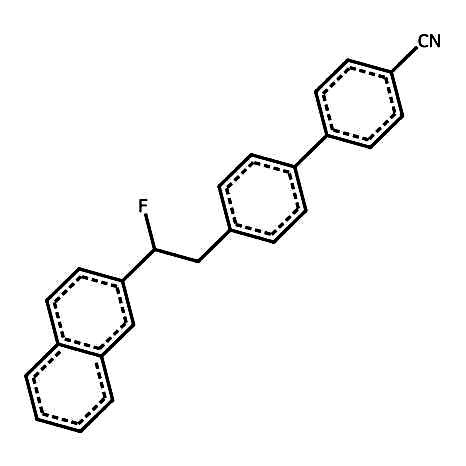 N#Cc1ccc(-c2ccc(CC(F)c3ccc4ccccc4c3)cc2)cc1